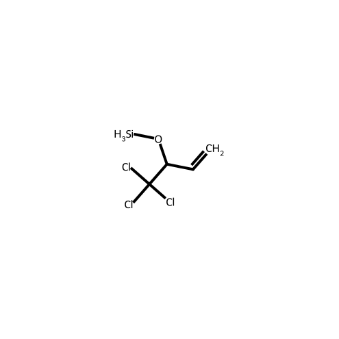 C=CC(O[SiH3])C(Cl)(Cl)Cl